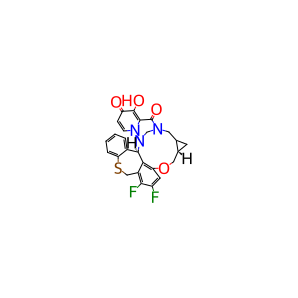 O=C1c2c(O)c(=O)ccn2N2CN1CC1C[C@@H]1COc1cc(F)c(F)c3c1[C@H]2c1ccccc1SC3